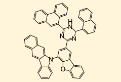 c1ccc2cc3c(cc2c1)c1ccccc1n3-c1cc(C2=NC(c3cccc4ccccc34)NC(c3cc4ccccc4c4ccccc34)=N2)cc2c1oc1ccccc12